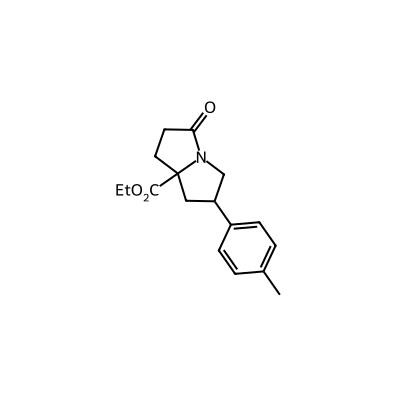 CCOC(=O)C12CCC(=O)N1CC(c1ccc(C)cc1)C2